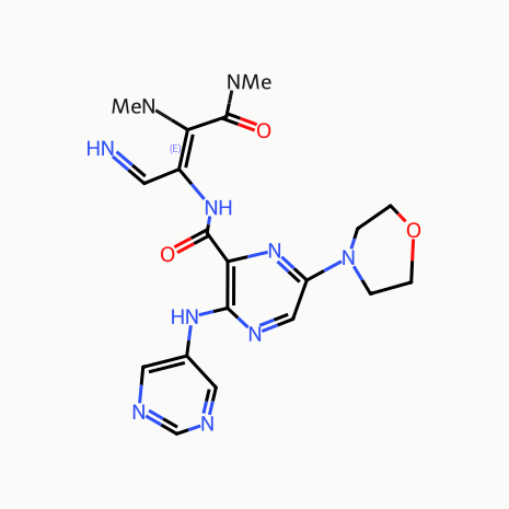 CNC(=O)/C(NC)=C(/C=N)NC(=O)c1nc(N2CCOCC2)cnc1Nc1cncnc1